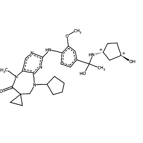 COc1cc(C(C)(O)N[C@@H]2CC[C@@H](O)C2)ccc1Nc1ncc2c(n1)N(C1CCCC1)CC1(CC1)C(=O)N2C